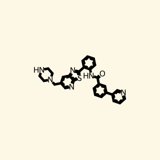 O=C(Nc1ccccc1-c1nc2cc(CN3CCNCC3)cnc2s1)c1cccc(-c2cccnc2)c1